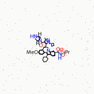 COc1ccc2c(c1)C=C(c1c(C(=O)N3C[C@@H]4C[C@H]3CN4)c(C)nn1C1CCC1)Cn1c-2c(C2CCCCC2)c2ccc(C(=O)NS(=O)(=O)C(C)C)cc21